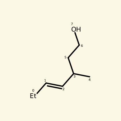 CCC=CC(C)CCO